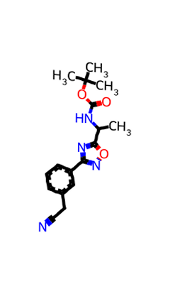 CC(NC(=O)OC(C)(C)C)c1nc(-c2cccc(CC#N)c2)no1